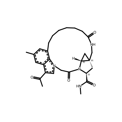 CNC(=O)[C@@H]1C[C@]23CNC(=O)CCCCCCc4cc(C)cc5c(C(C)=O)cn(c45)CC(=O)N1[C@@H]2C3